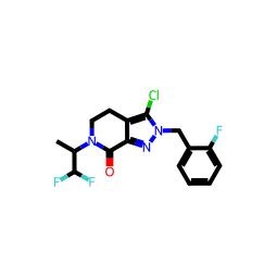 CC(C(F)F)N1CCc2c(nn(Cc3ccccc3F)c2Cl)C1=O